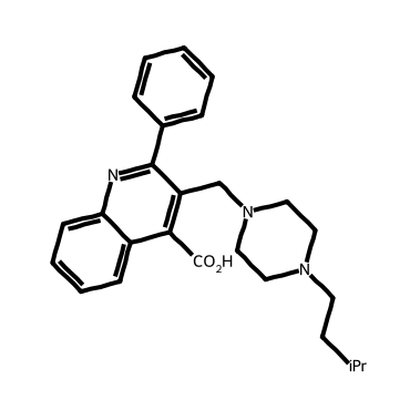 CC(C)CCN1CCN(Cc2c(-c3ccccc3)nc3ccccc3c2C(=O)O)CC1